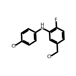 Fc1ccc(CCl)cc1Nc1ccc(Cl)cc1